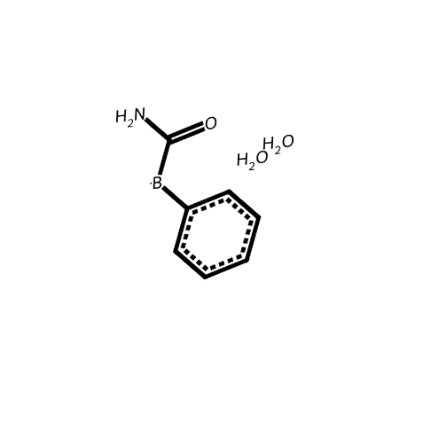 NC(=O)[B]c1ccccc1.O.O